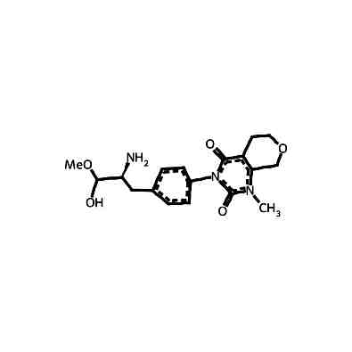 COC(O)[C@@H](N)Cc1ccc(-n2c(=O)c3c(n(C)c2=O)COCC3)cc1